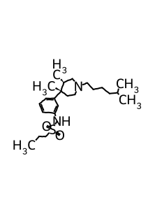 CCCS(=O)(=O)Nc1cccc([C@@]2(C)CCN(CCCCC(C)C)C[C@@H]2C)c1